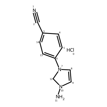 Cl.N#Cc1ccc(N2C=CN(N)C2)cc1